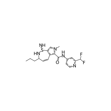 CCCC1C=Cc2c(cn(C)c2C(=O)Nc2ccnc(C(F)F)c2)S(=N)N1